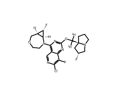 [2H]C([2H])(Oc1nc(N2CCOC[C@H]3[C@H](F)[C@H]32)c2cnc(Cl)c(F)c2n1)[C@@]12CCCN1C[C@H](F)C2